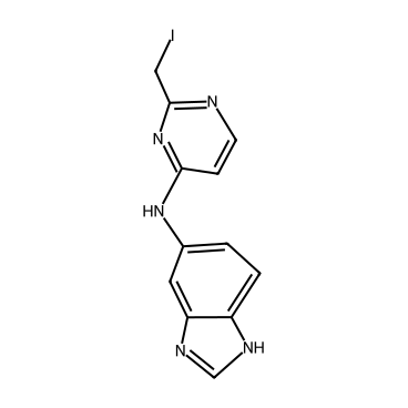 ICc1nccc(Nc2ccc3[nH]cnc3c2)n1